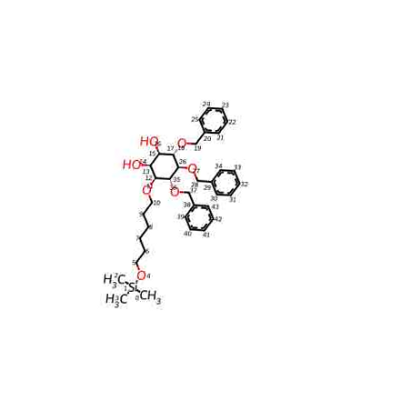 C[Si](C)(C)OCCCCCCO[C@H]1[C@@H](O)[C@@H](O)[C@H](OCc2ccccc2)[C@@H](OCc2ccccc2)[C@@H]1OCc1ccccc1